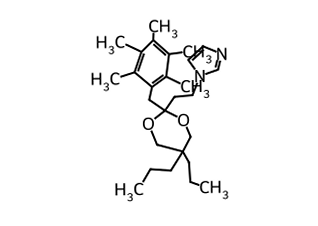 CCCC1(CCC)COC(CCn2ccnc2)(Cc2c(C)c(C)c(C)c(C)c2C)OC1